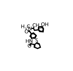 CC(Cc1cccc(O)c1)N(C)C(=O)c1ccc2c(c1)NC(=O)C1=CCCC=C1S2